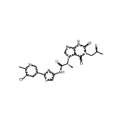 CC(=O)Cn1c(=O)[nH]c2ncn([C@@H](C)C(=O)Nc3csc(-c4cnc(C)c(Cl)c4)n3)c2c1=O